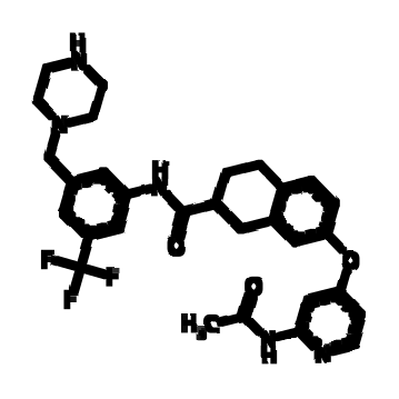 CC(=O)Nc1cc(Oc2ccc3c(c2)CC(C(=O)Nc2cc(CN4CCNCC4)cc(C(F)(F)F)c2)CC3)ccn1